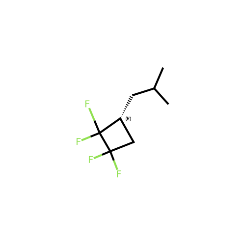 CC(C)C[C@@H]1CC(F)(F)C1(F)F